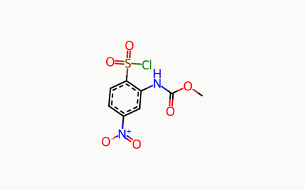 COC(=O)Nc1cc([N+](=O)[O-])ccc1S(=O)(=O)Cl